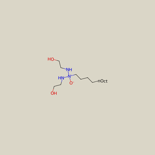 CCCCCCCCCCCC[N+]([O-])(NCCO)NCCO